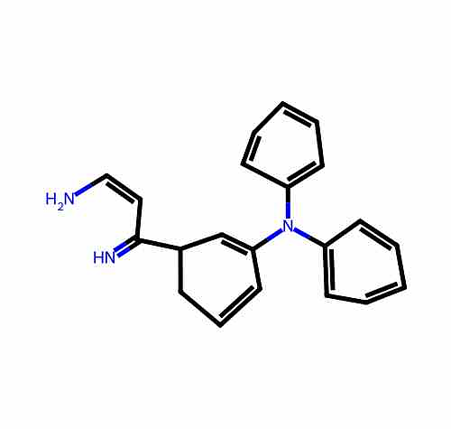 N=C(/C=C\N)C1C=C(N(c2ccccc2)c2ccccc2)C=CC1